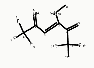 C=C(/C(=C/C(=N)C(F)(F)F)NC)C(C)(F)F